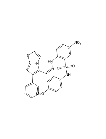 COc1ccc(NS(=O)(=O)c2cc([N+](=O)[O-])ccc2NN=Cc2c(-c3ccccc3)nc3sccn23)cc1